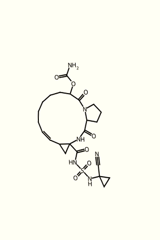 N#CC1(NS(=O)(=O)NC(=O)C23CC2C=CCCCCCC(OC(N)=O)C(=O)N2CCCC2C(=O)N3)CC1